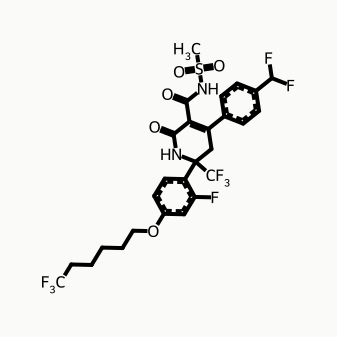 CS(=O)(=O)NC(=O)C1=C(c2ccc(C(F)F)cc2)CC(c2ccc(OCCCCCC(F)(F)F)cc2F)(C(F)(F)F)NC1=O